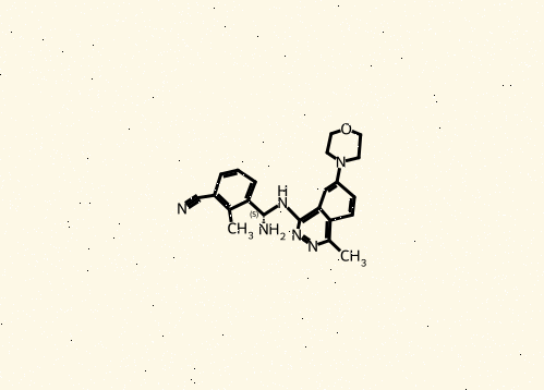 Cc1c(C#N)cccc1[C@@H](N)Nc1nnc(C)c2ccc(N3CCOCC3)cc12